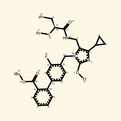 CCOc1nc(C2CC2)c(CNC(=O)[C@H](CC(C)C)SC(C)=O)n1Cc1ccc(-c2ccccc2C(=O)OC(C)(C)C)cc1F